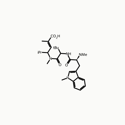 CN[C@@H](Cc1cn(C)c2ccccc12)C(=O)NC(C(=O)N(C)C(/C=C(\C)C(=O)O)C(C)C)C(C)(C)C